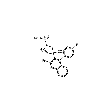 C=CC(CC[PH](=O)OC)(C(=O)O)c1c(C(C)C)nc2ccccc2c1-c1ccc(F)cc1